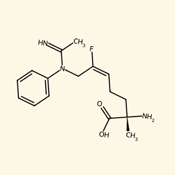 CC(=N)N(C/C(F)=C\CC[C@](C)(N)C(=O)O)c1ccccc1